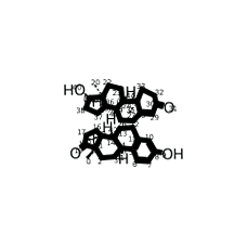 C[C@]12CC[C@@H]3c4ccc(O)cc4CC[C@H]3[C@@H]1CCC2=O.C[C@]12CC[C@H]3[C@@H](CCC4=CC(=O)CC[C@@]43C)[C@@H]1CC[C@@H]2O